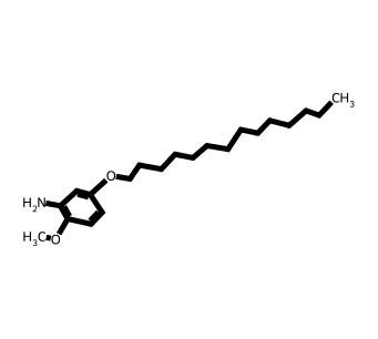 CCCCCCCCCCCCCCOc1ccc(OC)c(N)c1